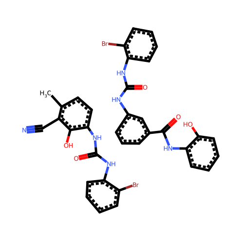 Cc1ccc(NC(=O)Nc2ccccc2Br)c(O)c1C#N.O=C(Nc1cccc(C(=O)Nc2ccccc2O)c1)Nc1ccccc1Br